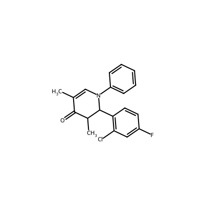 CC1=CN(c2ccccc2)C(c2ccc(F)cc2Cl)C(C)C1=O